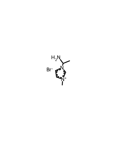 CC(N)n1cc[n+](C)c1.[Br-]